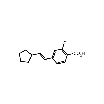 O=C(O)c1ccc(C=CC2CCCC2)cc1F